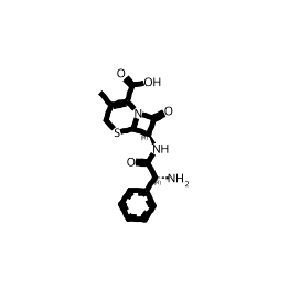 CC1=C(C(=O)O)N2C(=O)[C@@H](NC(=O)[C@H](N)c3ccccc3)C2SC1